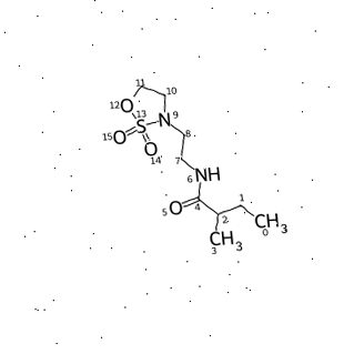 CCC(C)C(=O)NCCN1CCOS1(=O)=O